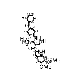 COc1cc2cc(C(=O)/C(C=N)=C(\N)Nc3ccc(Oc4ccccc4F)cc3C)[nH]c2cc1NSC